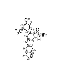 CC(C)NC(=O)C1(Cc2cc(C(F)(F)F)cc(C(F)(F)F)c2)CCN(Cc2ccc3occc3c2)CC1